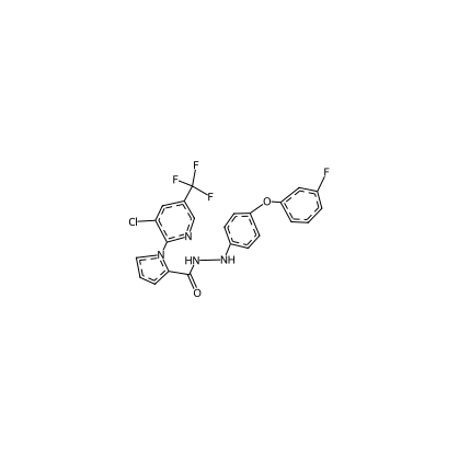 O=C(NNc1ccc(Oc2cccc(F)c2)cc1)c1cccn1-c1ncc(C(F)(F)F)cc1Cl